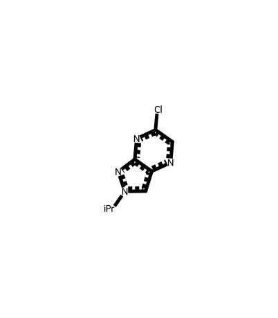 CC(C)n1cc2ncc(Cl)nc2n1